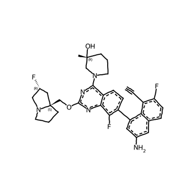 C#Cc1c(F)ccc2cc(N)cc(-c3ccc4c(N5CCC[C@@](C)(O)C5)nc(OC[C@@]56CCCN5C[C@H](F)C6)nc4c3F)c12